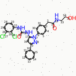 O=C(Cc1ccc(-n2nc(-c3ccccc3)cc2NC(=O)Nc2cccc(Cl)c2Cl)cc1)NCCO